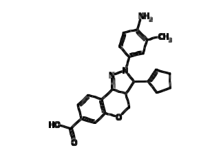 Cc1cc(N2N=C3c4ccc(C(=O)O)cc4OCC3C2C2=CCCC2)ccc1N